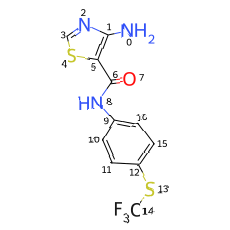 Nc1ncsc1C(=O)Nc1ccc(SC(F)(F)F)cc1